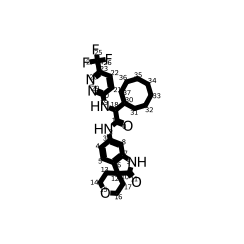 O=C(Nc1ccc2c(c1)NC(=O)C21CCOCC1)C(Nc1ccc(C(F)(F)F)nn1)C1CCCCCCC1